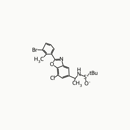 Cc1c(Br)cccc1-c1nc2cc(C(C)N[S+]([O-])C(C)(C)C)cc(Cl)c2o1